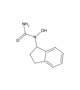 NC(=O)N(O)C1CCc2ccccc21